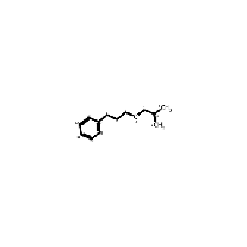 CC(C)COCCCc1cc[c]cc1